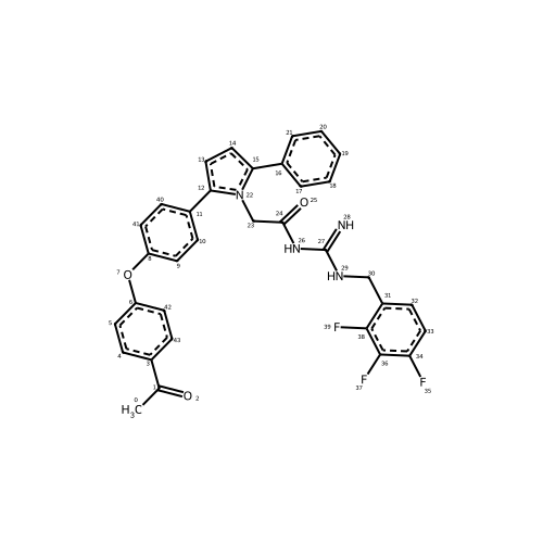 CC(=O)c1ccc(Oc2ccc(-c3ccc(-c4ccccc4)n3CC(=O)NC(=N)NCc3ccc(F)c(F)c3F)cc2)cc1